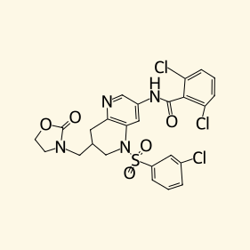 O=C(Nc1cnc2c(c1)N(S(=O)(=O)c1cccc(Cl)c1)CC(CN1CCOC1=O)C2)c1c(Cl)cccc1Cl